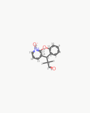 CC(C)(C=O)C1c2ccccc2Oc2c1ccc[n+]2[O-]